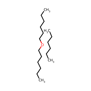 CCCCCC.CCCCCCOCCCCCC